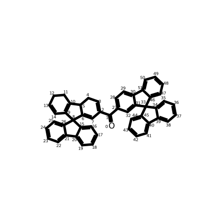 O=C(C1=CCC2C(=C1)C1(C3=C2CCC=C3)c2ccccc2-c2ccccc21)c1ccc2c(c1)C1(c3ccccc3-c3ccccc31)c1ccccc1-2